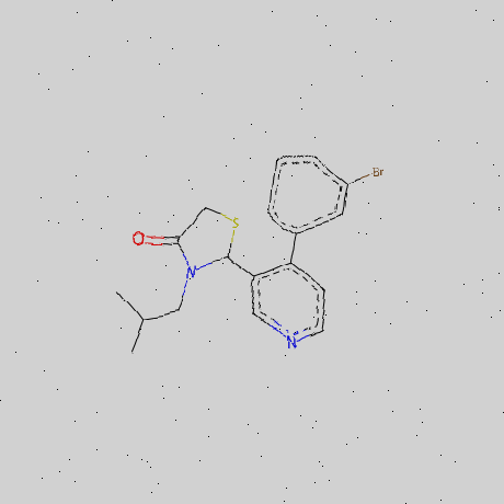 CC(C)CN1C(=O)CSC1c1cnccc1-c1cccc(Br)c1